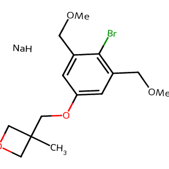 COCc1cc(OCC2(C)COC2)cc(COC)c1Br.[NaH]